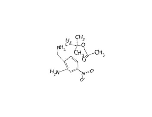 CC(=O)OC(C)(C)C.NCc1ccc([N+](=O)[O-])cc1N